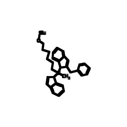 CC(C)(C)OCCCCCC[Si](C)(C1C=Cc2ccccc21)C1C(Cc2ccccc2)=Cc2ccccc21